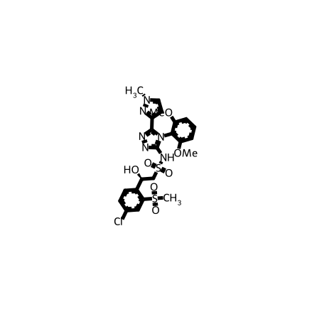 COc1cccc(OC)c1-n1c(NS(=O)(=O)C[C@H](O)c2ccc(Cl)cc2S(C)(=O)=O)nnc1-c1ccn(C)n1